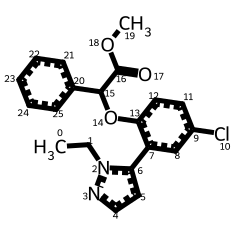 CCn1nccc1-c1cc(Cl)ccc1OC(C(=O)OC)c1ccccc1